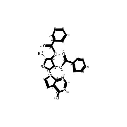 CC[C@H]1O[C@@H](n2ccc3c(Cl)ncnc32)[C@@H](OC(=O)c2ccccc2)C1OC(=O)c1ccccc1